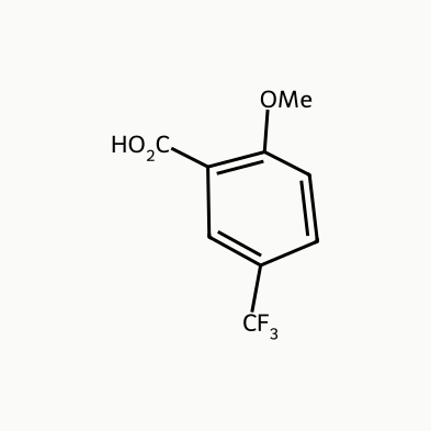 COc1ccc(C(F)(F)F)cc1C(=O)O